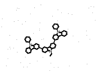 C=Cn1c2ccc(-c3ccc4c(c3)c3ccccc3n4-c3ccccc3)cc2c2cc(-c3ccc4c(c3)c3ccccc3n4-c3ccccc3)ccc21